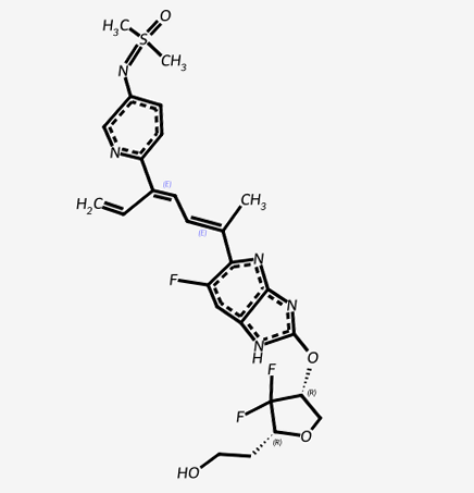 C=C/C(=C\C=C(/C)c1nc2nc(O[C@@H]3CO[C@H](CCO)C3(F)F)[nH]c2cc1F)c1ccc(N=S(C)(C)=O)cn1